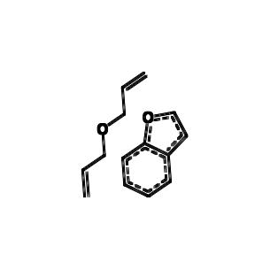 C=CCOCC=C.c1ccc2occc2c1